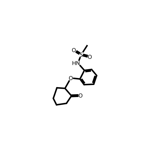 CS(=O)(=O)Nc1ccccc1OC1CCCCC1=O